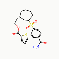 CCOC(=O)c1cccs1.NC(=O)c1ccc(S(=O)(=O)C2CCCCCC2)cc1